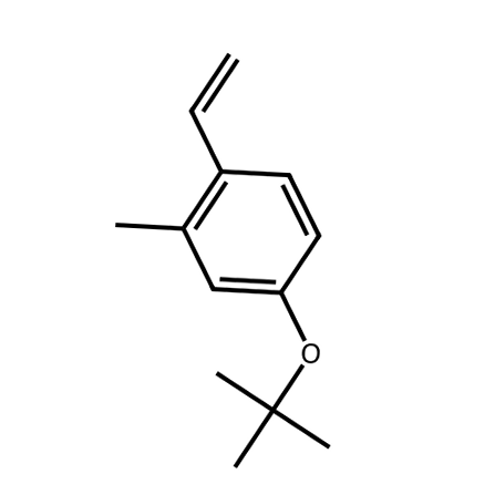 C=Cc1ccc(OC(C)(C)C)cc1C